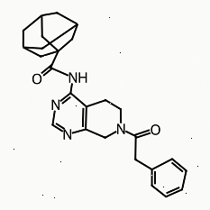 O=C(Cc1ccccc1)N1CCc2c(ncnc2NC(=O)C23CC4CC(CC(C4)C2)C3)C1